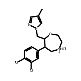 Cc1cnn(CC2OCCNCC2c2ccc(Cl)c(Cl)c2)c1.Cl